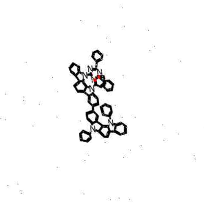 c1ccc(-c2nc(-c3ccccc3)nc(-n3c4ccccc4c4ccc5c6cc(-c7ccc8c(c7)c7c(ccc9c%10ccccc%10n(-c%10ccccc%10)c97)n8-c7ccccc7)ccc6n(-c6ccccc6)c5c43)n2)cc1